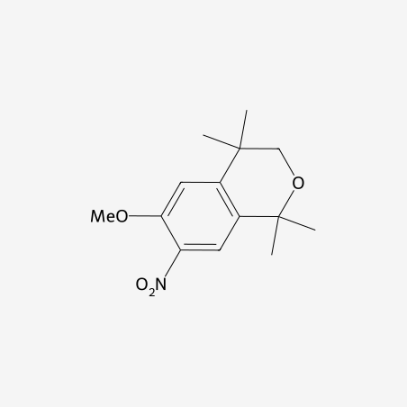 COc1cc2c(cc1[N+](=O)[O-])C(C)(C)OCC2(C)C